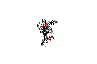 CCCC(=O)N[C@@H](CCNC(=O)OC(C)(C)C)C(=O)NCC(=O)N[C@@H](CCNC(=O)OC(C)(C)C)C(=O)NCC(=O)N[C@@H](C)C(=O)N[C@@H](CCNC(=O)OC(C)(C)C)C(=O)N[C@@H](CCNC(=O)OC(C)(C)C)C(=O)N[C@H](C(=O)NCC)[C@@H](C)O